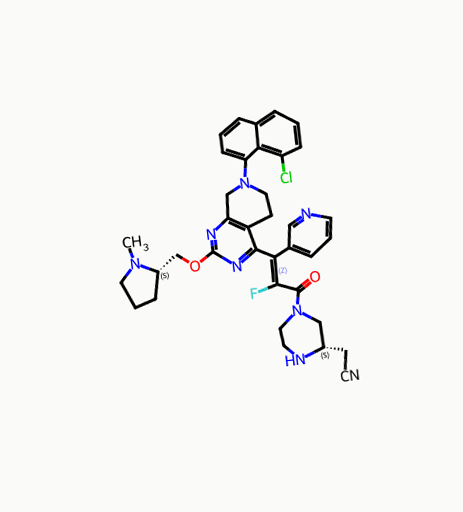 CN1CCC[C@H]1COc1nc2c(c(/C(=C(\F)C(=O)N3CCN[C@@H](CC#N)C3)c3cccnc3)n1)CCN(c1cccc3cccc(Cl)c13)C2